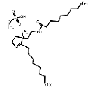 CCCCCCCCCCCCCCCCCC(=O)NCC[N+]1(C)CCN=C1CCCCCCCCCCCCCCCCC.COS(=O)(=O)O